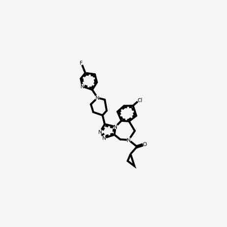 O=C(C1CC1)N1Cc2cc(Cl)ccc2-n2c(nnc2C2CCN(c3ccc(F)cn3)CC2)C1